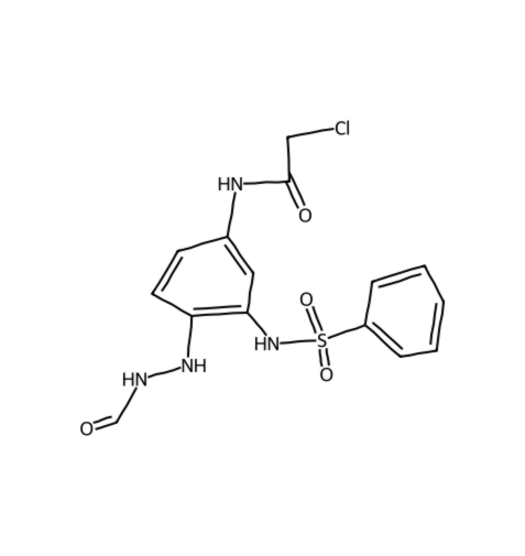 O=CNNc1ccc(NC(=O)CCl)cc1NS(=O)(=O)c1ccccc1